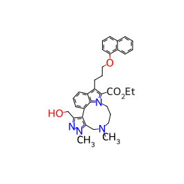 CCOC(=O)c1c(CCCOc2cccc3ccccc23)c2cccc3c2n1CCCN(C)Cc1c-3c(CO)nn1C